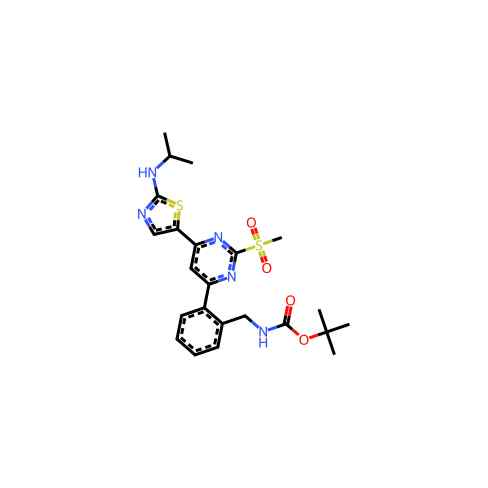 CC(C)Nc1ncc(-c2cc(-c3ccccc3CNC(=O)OC(C)(C)C)nc(S(C)(=O)=O)n2)s1